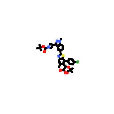 Cc1cc2nc(-c3ccc4c(c3)c(C3CN(C(=O)OC(C)(C)C)C3)nn4C)sc2c(-c2ccc(Cl)cc2)c1[C@H](OC(C)(C)C)C(=O)O